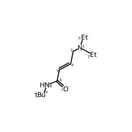 CCN(CC)C/C=C/C(=O)NC(C)(C)C